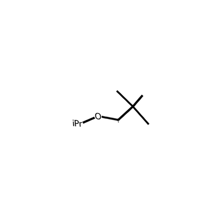 CC(C)O[CH]C(C)(C)C